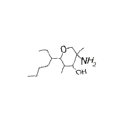 CCCCC(CC)C1OCC(C)(N)C(O)C1C